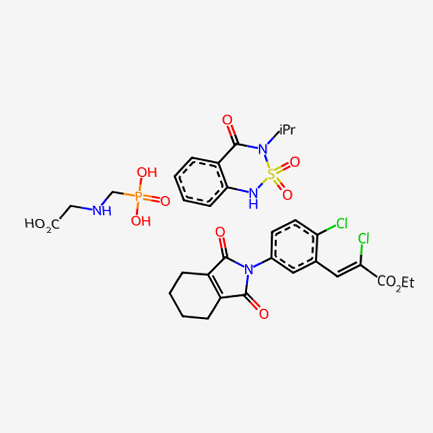 CC(C)N1C(=O)c2ccccc2NS1(=O)=O.CCOC(=O)/C(Cl)=C/c1cc(N2C(=O)C3=C(CCCC3)C2=O)ccc1Cl.O=C(O)CNCP(=O)(O)O